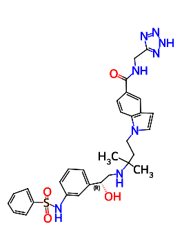 CC(C)(CCn1ccc2cc(C(=O)NCc3nn[nH]n3)ccc21)NC[C@H](O)c1cccc(NS(=O)(=O)c2ccccc2)c1